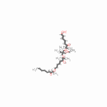 CCCCCCC(=O)C(C)(C)OCCCCCC(=O)C(C)(C)OCC(CC)(COCC)COC(C)(C)C(=O)CCCCCO